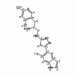 NC(CNc1nnc(-c2cc3cn[nH]c3cc2F)s1)Cc1ccc(Cl)cc1Cl